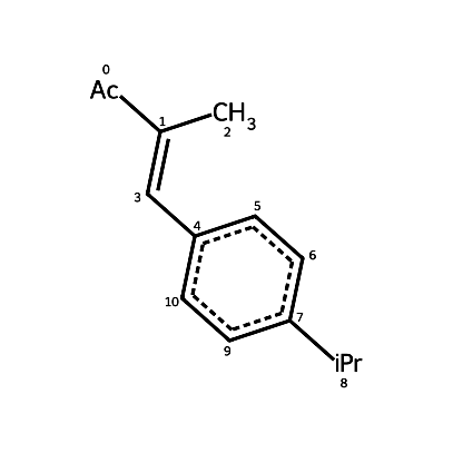 CC(=O)C(C)=Cc1ccc(C(C)C)cc1